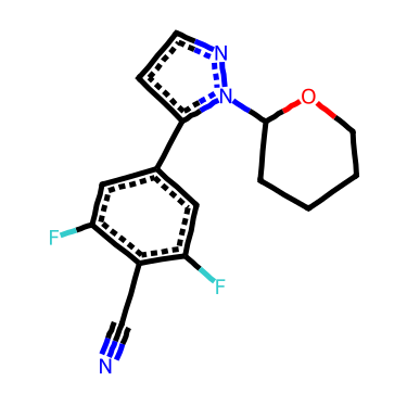 N#Cc1c(F)cc(-c2ccnn2C2CCCCO2)cc1F